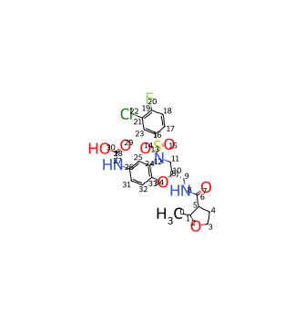 CC1OCCC1C(=O)NC[C@H]1CN(S(=O)(=O)c2ccc(F)c(Cl)c2)c2cc(NC(=O)O)ccc2O1